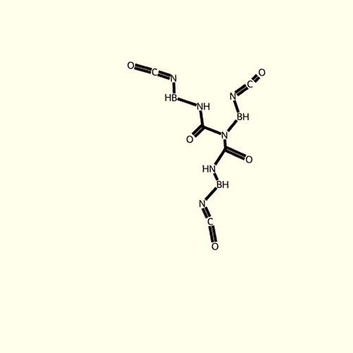 O=C=NBNC(=O)N(BN=C=O)C(=O)NBN=C=O